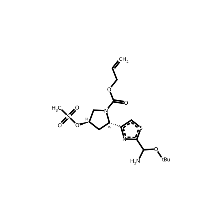 C=CCOC(=O)N1C[C@H](OS(C)(=O)=O)C[C@H]1c1csc(C(N)OC(C)(C)C)n1